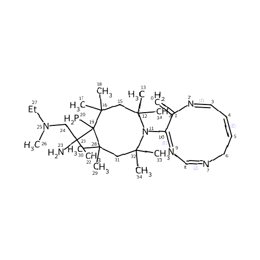 C=C1/N=C\C=C/C/N=C\N=C/1N1C(C)(C)CC(C)(C)C(P)(C(C)(N)CN(C)CC)C(C)(C)CC1(C)C